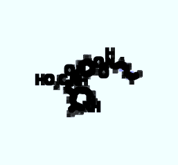 C/C=C\C=C/CNC(=O)OC1CCN(C(=O)NC(Cc2cccn[nH]cc(C)c2)C(=O)O)CC1